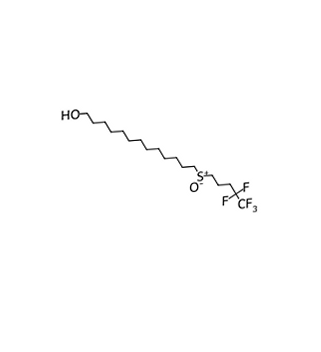 [O-][S+](CCCCCCCCCCCCCO)CCCC(F)(F)C(F)(F)F